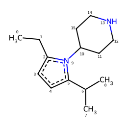 CCc1ccc(C(C)C)n1C1CCNCC1